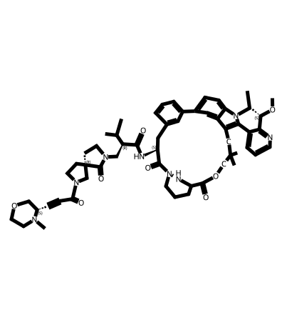 CCn1c(-c2cccnc2[C@H](C)OC)c2c3cc(ccc31)-c1cccc(c1)C[C@H](NC(=O)[C@@H](CN1CC[C@]3(CCN(C(=O)C#C[C@H]4COCCN4C)C3)C1=O)C(C)C)C(=O)N1CCCC(N1)C(=O)OCC(C)(C)C2